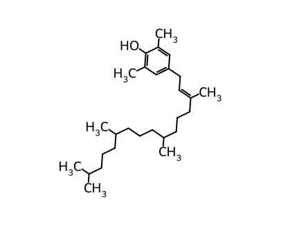 C/C(=C\Cc1cc(C)c(O)c(C)c1)CCCC(C)CCCC(C)CCCC(C)C